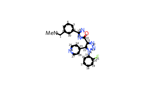 CNCc1cccc(-c2noc(-c3nnn(-c4ccccc4F)c3-c3ccncc3)n2)c1